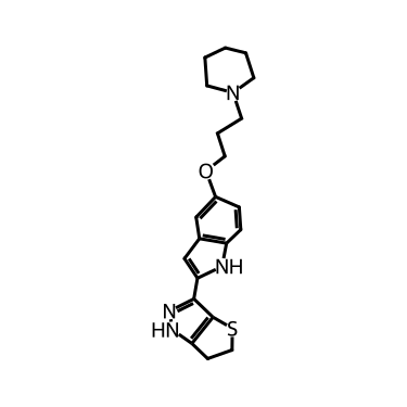 c1cc2[nH]c(-c3n[nH]c4c3SCC4)cc2cc1OCCCN1CCCCC1